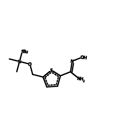 CC(C)(C)[Si](C)(C)OCc1ccc(C(N)=NO)s1